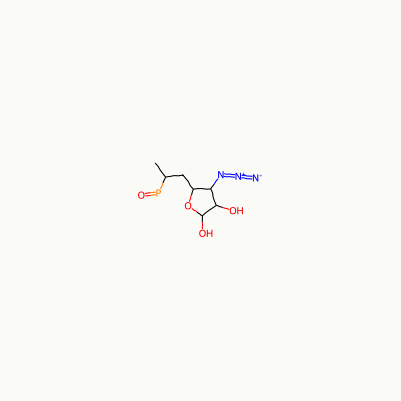 CC(CC1OC(O)C(O)C1N=[N+]=[N-])P=O